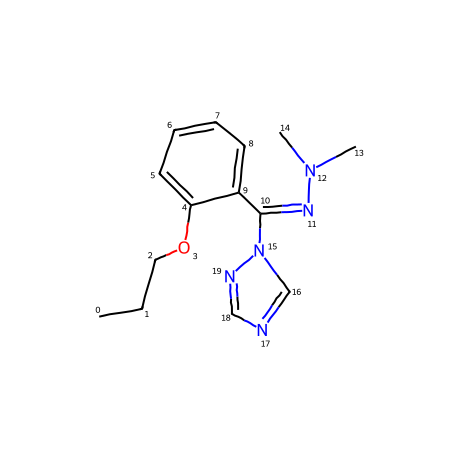 CCCOc1ccccc1/C(=N\N(C)C)n1cncn1